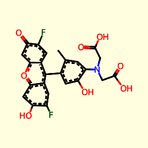 Cc1cc(N(CC(=O)O)CC(=O)O)c(O)cc1-c1c2cc(F)c(=O)cc-2oc2cc(O)c(F)cc12